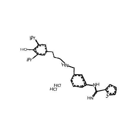 CC(C)c1cc(CCCNCc2cccc(NC(=N)c3cccs3)c2)cc(C(C)C)c1O.Cl.Cl